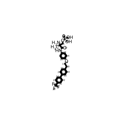 CC(N)(COP(=O)(O)O)C(=O)Nc1ccc(OCCc2ccc(-c3ccc(C(F)(F)F)cc3)cc2)cc1